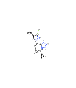 O=[N+]([O-])c1cn(C(CC2CC2)c2nnnn2CC2CC2)nc1F